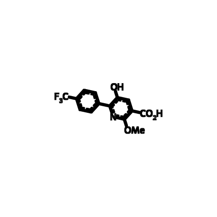 COc1nc(-c2ccc(C(F)(F)F)cc2)c(O)cc1C(=O)O